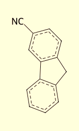 N#Cc1ccc2c(c1)-c1ccccc1C2